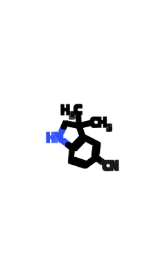 CC1(C)CNc2ccc(C#N)cc21